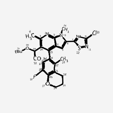 Cc1nc2c(cc(-c3nc(Cl)ns3)n2C)c(-c2cc(F)c3c(c2C)CCCO3)c1C(OC(C)(C)C)C(=O)O